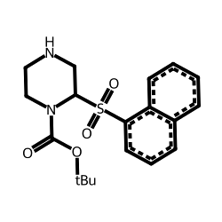 CC(C)(C)OC(=O)N1CCNCC1S(=O)(=O)c1cccc2ccccc12